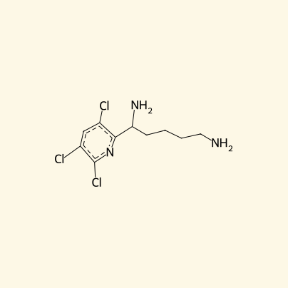 NCCCCC(N)c1nc(Cl)c(Cl)cc1Cl